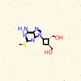 CSc1nc(N)c2ncn(C3C[C@H](CO)[C@H]3CO)c2n1